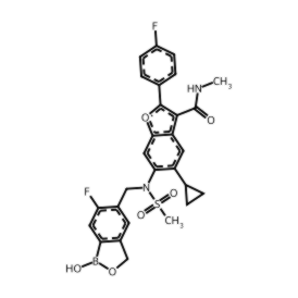 CNC(=O)c1c(-c2ccc(F)cc2)oc2cc(N(Cc3cc4c(cc3F)B(O)OC4)S(C)(=O)=O)c(C3CC3)cc12